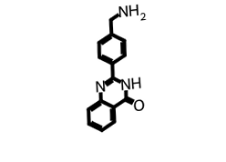 NCc1ccc(-c2nc3ccccc3c(=O)[nH]2)cc1